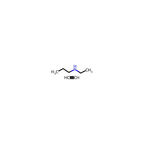 C#C.CCCNCC